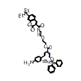 CCN(CC)c1ccc2cc(C(=O)NCCOCCOC(=O)C(/C=C/c3ccc(N)cc3)=C/CO[Si](c3ccccc3)(c3ccccc3)C(C)(C)C)c(=O)oc2c1